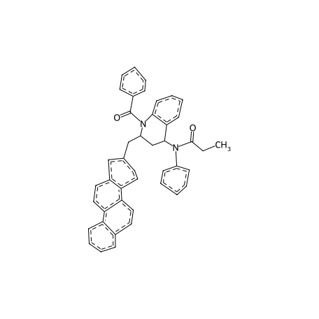 CCC(=O)N(c1ccccc1)C1CC(Cc2ccc3c(ccc4c5ccccc5ccc34)c2)N(C(=O)c2ccccc2)c2ccccc21